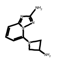 Nc1nc2cccc(N3CC(N)C3)n2n1